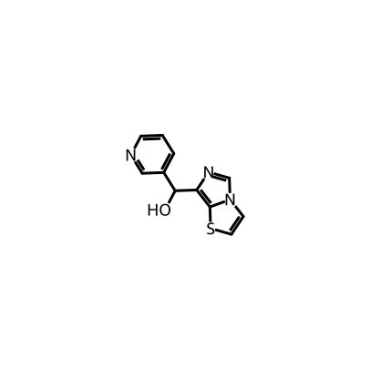 OC(c1cccnc1)c1ncn2ccsc12